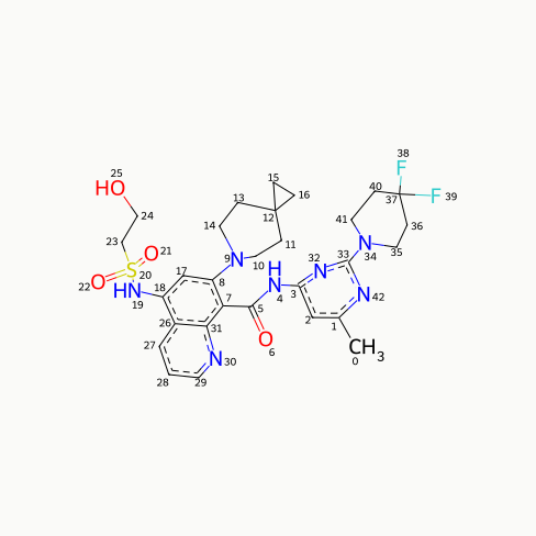 Cc1cc(NC(=O)c2c(N3CCC4(CC3)CC4)cc(NS(=O)(=O)CCO)c3cccnc23)nc(N2CCC(F)(F)CC2)n1